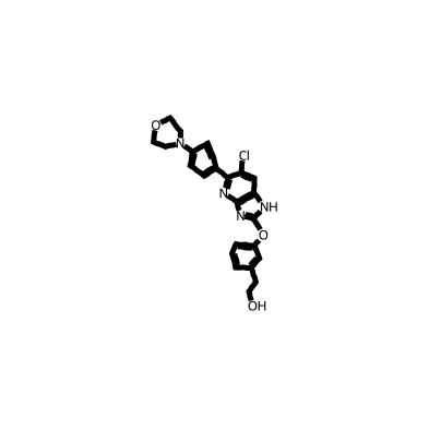 OCCc1cccc(Oc2nc3nc(-c4ccc(N5CCOCC5)cc4)c(Cl)cc3[nH]2)c1